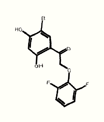 CCc1cc(C(=O)COc2c(F)cccc2F)c(O)cc1O